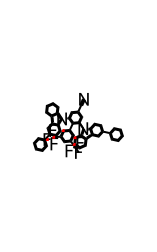 N#Cc1cc(-n2c3ccccc3c3cc(-c4ccccc4)ccc32)c(-c2cc(C(F)(F)F)cc(C(F)(F)F)c2)c(-n2c3ccccc3c3cc(-c4ccccc4)ccc32)c1